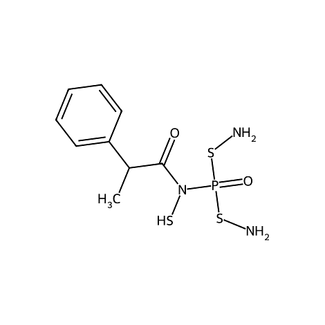 CC(C(=O)N(S)P(=O)(SN)SN)c1ccccc1